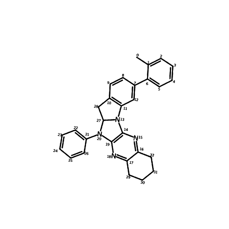 Cc1ccccc1-c1ccc2c(c1)N1c3nc4c(nc3N(c3ccccc3)C1C2)CCCC4